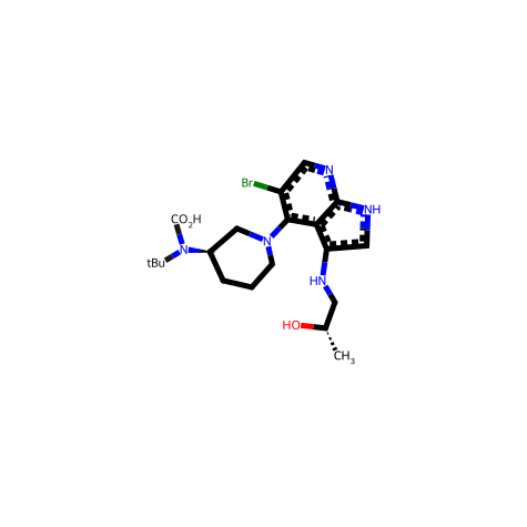 C[C@H](O)CNc1c[nH]c2ncc(Br)c(N3CCC[C@@H](N(C(=O)O)C(C)(C)C)C3)c12